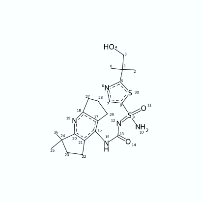 CC(C)(CO)c1ncc(S(N)(=O)=NC(=O)Nc2c3c(nc4c2CCC4(C)C)CCC3)s1